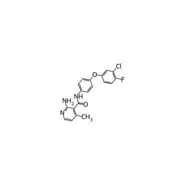 Cc1ccnc(N)c1C(=O)Nc1ccc(Oc2ccc(F)c(Cl)c2)cc1